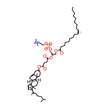 CCCCCCCC/C=C\CCCCCCCC(=O)OC[C@H](COP(=O)([O-])OCC[N+](C)(C)C)OC(=O)CCC(=O)O[C@H]1CC[C@@]2(C)C(=CC[C@H]3[C@@H]4CC[C@H]([C@H](C)CCCC(C)C)[C@@]4(C)CC[C@@H]32)C1